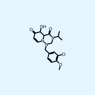 COc1ccc(CN2CN(C(C)C)C(=O)C3C(O)C(=O)C=CN32)cc1Cl